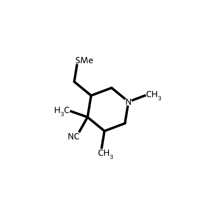 CSCC1CN(C)CC(C)C1(C)C#N